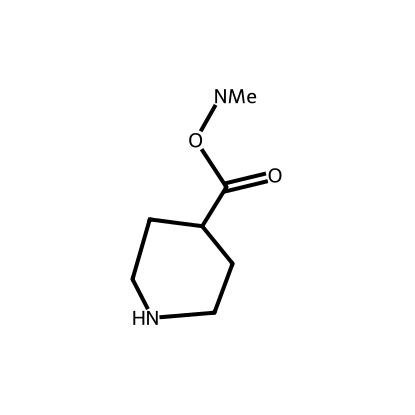 CNOC(=O)C1CCNCC1